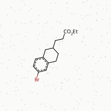 CCOC(=O)CCC1CCc2cc(Br)ccc2C1